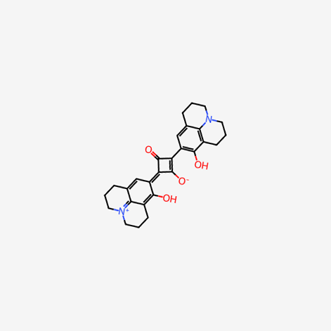 O=C1C(c2cc3c4c(c2O)CCCN4CCC3)=C([O-])/C1=c1/cc2c3c(c1O)CCC[N+]=3CCC2